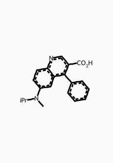 CC(C)N(C)c1ccc2ncc(C(=O)O)c(-c3ccccc3)c2c1